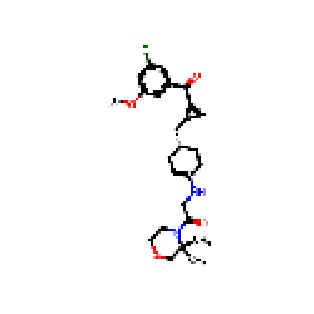 COc1cc(F)cc(C(=O)C2=CC2C[C@H]2CC=C(NCC(=O)N3CCOCC3(C)C)CC2)c1